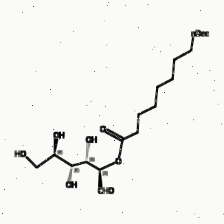 CCCCCCCCCCCCCCCCCC(=O)O[C@@H](C=O)[C@@H](O)[C@H](O)[C@H](O)CO